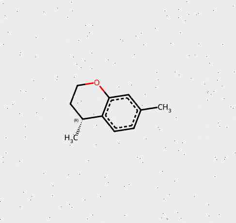 Cc1ccc2c(c1)OCC[C@H]2C